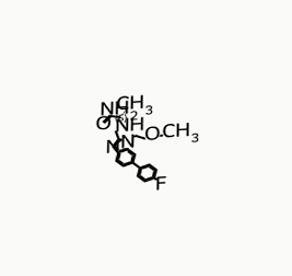 CCOCCn1c(CN[C@@H](CC)C(N)=O)nc2ccc(-c3ccc(F)cc3)cc21